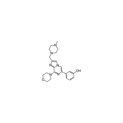 CN1CCN(Cc2cn3cc(-c4cccc(O)c4)nc(N4CCOCC4)c3n2)CC1